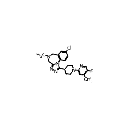 Cc1cc(N2CCC(c3nnc4n3-c3ccc(Cl)cc3CN(C)C4)CC2)ncc1F